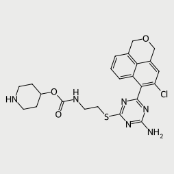 Nc1nc(SCCNC(=O)OC2CCNCC2)nc(-c2c(Cl)cc3c4c(cccc24)COC3)n1